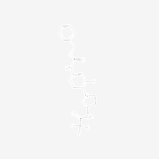 O=C(Nc1ccc(N2CCC(NC(=O)C(F)(F)F)C2)c(F)c1)OCc1ccccc1